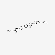 CCCCCC1CCC(c2ccc(C3CCC(C4CCC(c5ccc(CCC)c(F)c5)CC4)CC3)c(F)c2)CC1